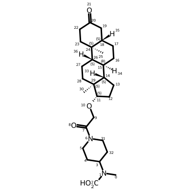 CN(C(=O)O)C1CCN(C(=O)CO[C@H]2CC[C@H]3[C@@H]4CC[C@H]5CC(=O)CC[C@]5(C)[C@H]4CC[C@]23C)CC1